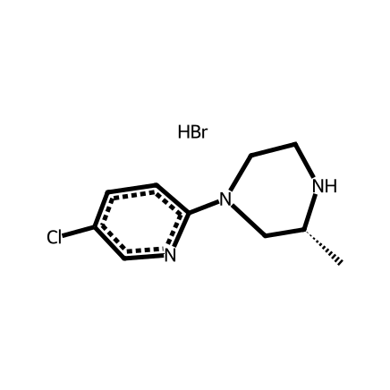 Br.C[C@@H]1CN(c2ccc(Cl)cn2)CCN1